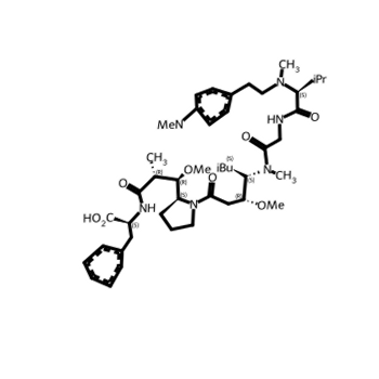 CC[C@H](C)[C@@H]([C@@H](CC(=O)N1CCC[C@H]1[C@H](OC)[C@@H](C)C(=O)N[C@@H](Cc1ccccc1)C(=O)O)OC)N(C)C(=O)CNC(=O)[C@H](C(C)C)N(C)CCc1ccc(NC)cc1